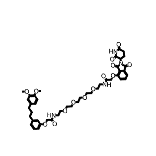 COc1ccc(CCCc2cccc(OCC(=O)NCCOCCOCCOCCOCCNC(=O)COc3cccc4c3C(=O)N(C3CCC(=O)NC3=O)C4=O)c2)cc1OC